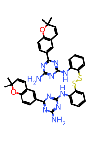 CC1(C)C=Cc2cc(-c3nc(N)nc(Nc4ccccc4SSc4ccccc4Nc4nc(N)nc(-c5ccc6c(c5)C=CC(C)(C)O6)n4)n3)ccc2O1